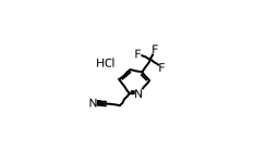 Cl.N#CCc1ccc(C(F)(F)F)cn1